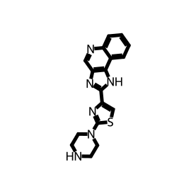 c1ccc2c(c1)ncc1nc(-c3csc(N4CCNCC4)n3)[nH]c12